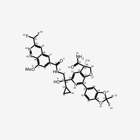 COc1cc(C(=O)NC[C@](O)(c2cc3c(c(-c4ccc5c(c4)OC(F)(F)O5)n2)OC[C@]3(C)C(N)=O)C2CC2)cc2cc(C(F)F)nnc12